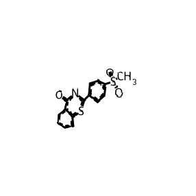 CS(=O)(=O)c1ccc(-c2nc(=O)c3ccccc3s2)cc1